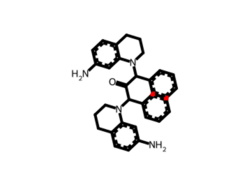 Nc1ccc2c(c1)N(C(C(=O)C(c1ccccc1)N1CCCc3ccc(N)cc31)c1ccccc1)CCC2